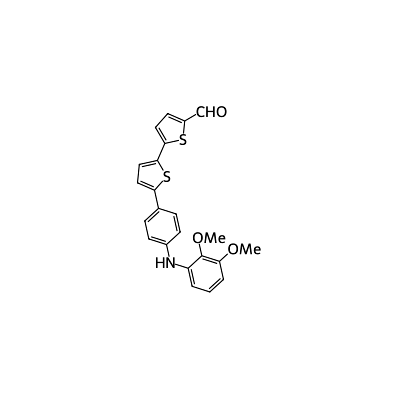 COc1cccc(Nc2ccc(-c3ccc(-c4ccc(C=O)s4)s3)cc2)c1OC